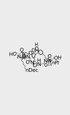 CCCCCCCCCCCCCCCC(=O)N(C)[C@H](CO)C(=O)N[C@H](C)C(=O)NCC(=O)N(C)[C@@H]1C(=O)N[C@@H](C)C(=O)N[C@H](C(=O)N[C@H](CO)CCC)Cc2ccc(O)c(c2)-c2cc1ccc2O